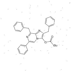 CC(C)(C)C(=O)Oc1c(Cc2ccccc2)nc2c(Cc3ccccc3)nc(-c3ccccc3)cn12